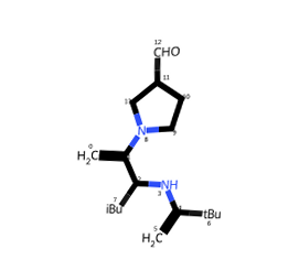 C=C(C(NC(=C)C(C)(C)C)C(C)CC)N1CCC(C=O)C1